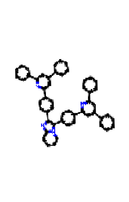 c1ccc(-c2cc(-c3ccccc3)nc(-c3ccc(-c4nc5ccccn5c4-c4ccc(-c5cc(-c6ccccc6)cc(-c6ccccc6)n5)cc4)cc3)c2)cc1